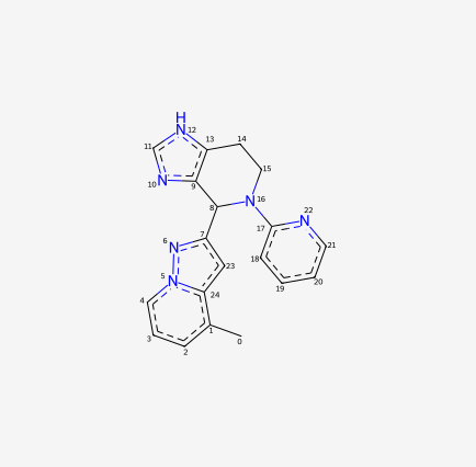 Cc1cccn2nc(C3c4nc[nH]c4CCN3c3ccccn3)cc12